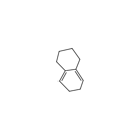 [C]1=C2CCCCC2=CCC1